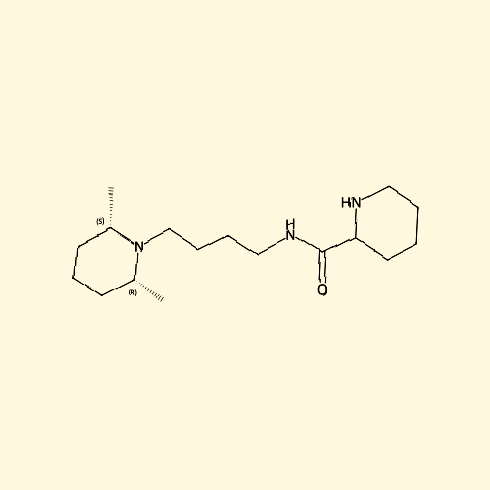 C[C@@H]1CCC[C@H](C)N1CCCCNC(=O)C1CCCCN1